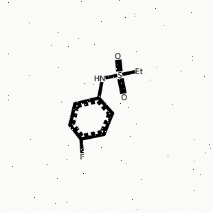 CCS(=O)(=O)Nc1ccc(F)cc1